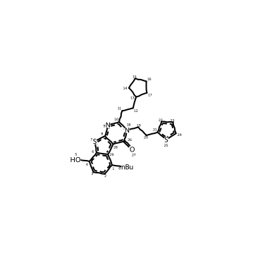 CCCCc1ccc(O)c2sc3nc(CCC4CCCC4)n(CCc4cccs4)c(=O)c3c12